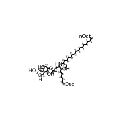 CCCCCCCC/C=C\CCCCCCCCCCCCCC(=O)NC(COC(C)OC(CO)[C@H](O)[C@@H](CO)OS(=O)(=O)O)[C@H](O)/C=C/CCCCCCCCCCCCC